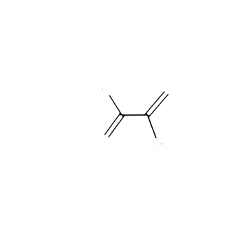 C=C(O)C(=C)O